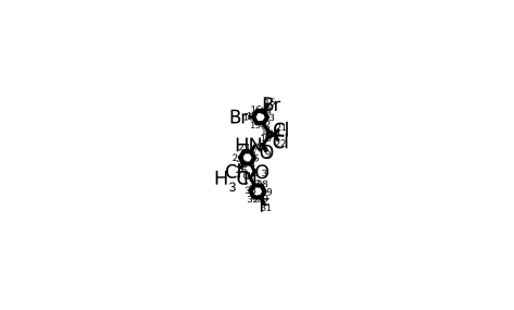 CN(C(=O)c1cc(NC(=O)C2C(c3cc(Br)cc(Br)c3)C2(Cl)Cl)ccc1Cl)c1ccc(F)cc1